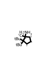 CC(C)(C)C1(C(C)(C)C)CCCC1(C)N